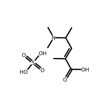 CC(=CC(C)N(C)C)C(=O)O.O=S(=O)(O)O